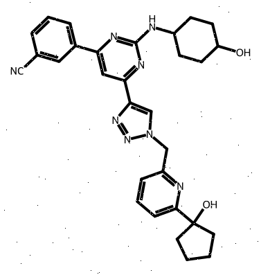 N#Cc1cccc(-c2cc(-c3cn(Cc4cccc(C5(O)CCCC5)n4)nn3)nc(NC3CCC(O)CC3)n2)c1